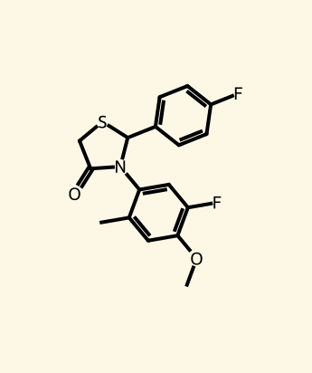 COc1cc(C)c(N2C(=O)CSC2c2ccc(F)cc2)cc1F